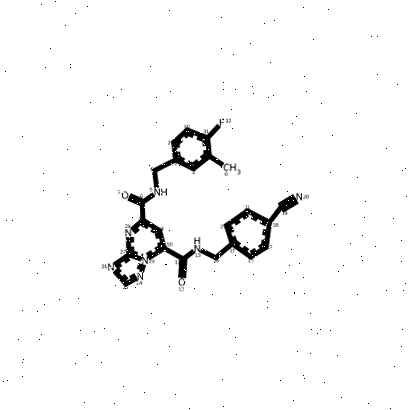 Cc1cc(CNC(=O)c2cc(C(=O)NCc3ccc(C#N)cc3)n3ncnc3n2)ccc1F